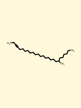 [CH2]CC#CCCCCCCCCCCCCCCCC(C)CCCCC[CH2]